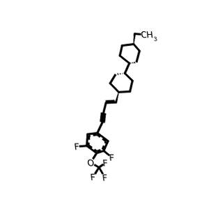 CC[C@H]1CC[C@H]([C@H]2CC[C@H](C=CC#Cc3cc(F)c(OC(F)(F)F)c(F)c3)CC2)CC1